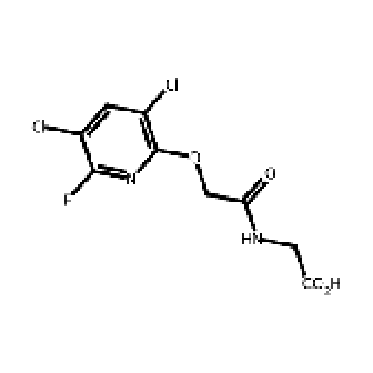 O=C(O)CNC(=O)COc1nc(F)c(Cl)cc1Cl